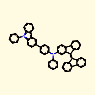 c1ccc(N(c2ccc(-c3ccc4c(c3)c3ccccc3n4-c3ccccc3)cc2)c2ccc3c(c2)C(=C2c4ccccc4-c4ccccc42)c2ccccc2-3)cc1